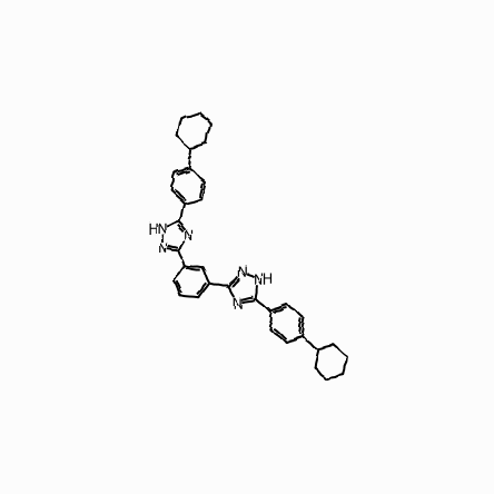 c1cc(-c2n[nH]c(-c3ccc(C4CCCCC4)cc3)n2)cc(-c2n[nH]c(-c3ccc(C4CCCCC4)cc3)n2)c1